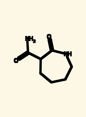 NC(=O)C1CCCCNC1=O